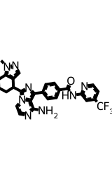 Cn1ncc2c1CCCC2c1nc(-c2ccc(C(=O)Nc3cc(C(F)(F)F)ccn3)cc2)c2c(N)nccn12